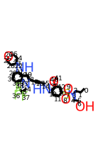 CCCN(CCO)S(=O)(=O)c1ccc(NCC#Cc2cc3c(NC4CCOCC4)cccc3n2CC(F)(F)F)c(OC)c1